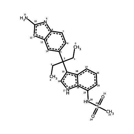 CCC(CC)(c1ccc2nc(N)sc2c1)c1c[nH]c2c(NS(C)(=O)=O)cccc12